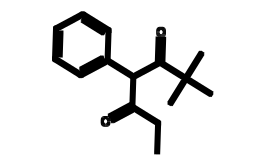 CCC(=O)C(C(=O)C(C)(C)C)c1ccccc1